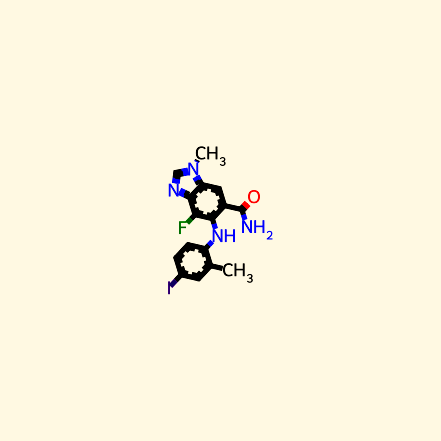 Cc1cc(I)ccc1Nc1c(C(N)=O)cc2c(ncn2C)c1F